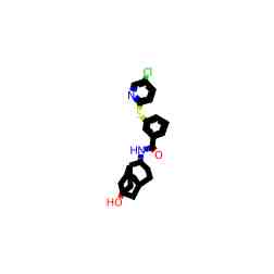 O=C(NC1CCC2CC3CC(O)(C2)CC31)c1cccc(Sc2ccc(Cl)cn2)c1